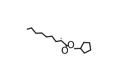 CCCCCCC[CH]C(=O)OCC1CCCC1